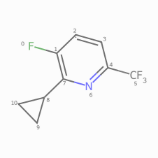 Fc1[c]cc(C(F)(F)F)nc1C1CC1